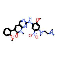 COc1cc(N(C)CCN(C)C)c([N+](=O)[O-])cc1Nc1ncc2cc(-c3ccccc3OC)c(=O)n(C)c2n1